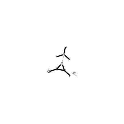 CC1OC1Cl.CN(C)C.Cl